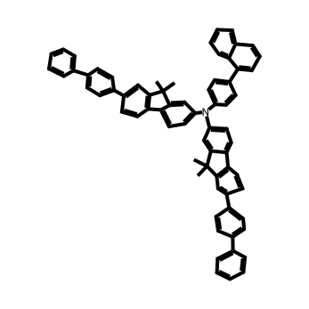 CC1(C)c2cc(-c3ccc(-c4ccccc4)cc3)ccc2-c2ccc(N(c3ccc(-c4cccc5ccccc45)cc3)c3ccc4c(c3)C(C)(C)c3cc(-c5ccc(-c6ccccc6)cc5)ccc3-4)cc21